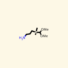 COC(OC)[Si](C)(C)CCCN